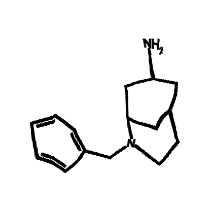 NC1CC2CCN(Cc3ccccc3)C(C1)C2